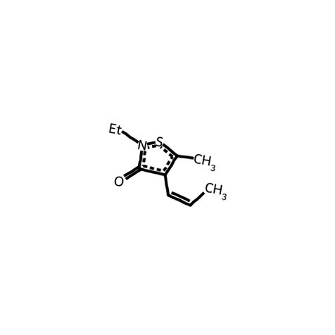 C/C=C\c1c(C)sn(CC)c1=O